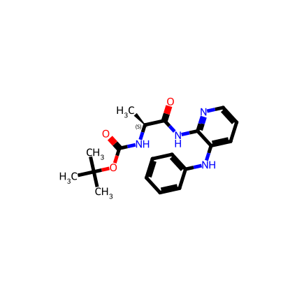 C[C@H](NC(=O)OC(C)(C)C)C(=O)Nc1ncccc1Nc1ccccc1